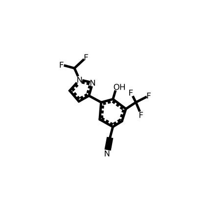 N#Cc1cc(-c2ccn(C(F)F)n2)c(O)c(C(F)(F)F)c1